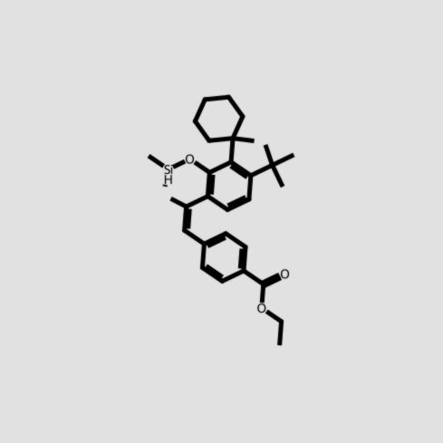 CCOC(=O)c1ccc(C=C(C)c2ccc(C(C)(C)C)c(C3(C)CCCCC3)c2O[SiH](C)C)cc1